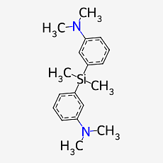 CN(C)c1cccc([Si](C)(C)c2cccc(N(C)C)c2)c1